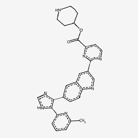 Cc1cccc(-c2[nH]cnc2-c2ccc3ncc(-c4nccc(C(=O)OC5CCNCC5)n4)cc3c2)n1